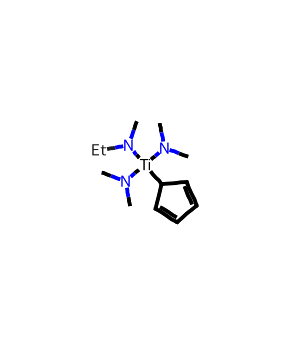 CC[N](C)[Ti]([CH]1C=CC=C1)([N](C)C)[N](C)C